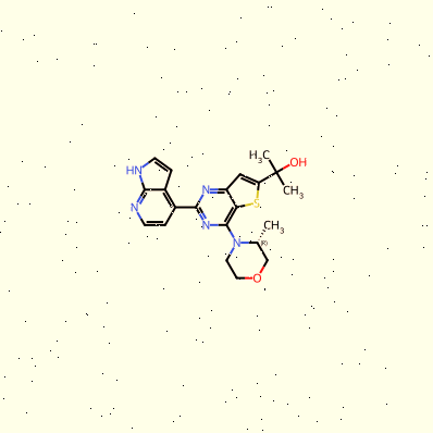 C[C@@H]1COCCN1c1nc(-c2ccnc3[nH]ccc23)nc2cc(C(C)(C)O)sc12